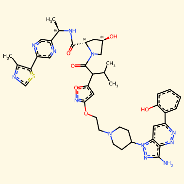 Cc1ncsc1-c1cnc([C@@H](C)NC(=O)[C@@H]2C[C@@H](O)CN2C(=O)C(c2cc(OCCN3CCC(n4nc(N)c5nnc(-c6ccccc6O)cc54)CC3)no2)C(C)C)cn1